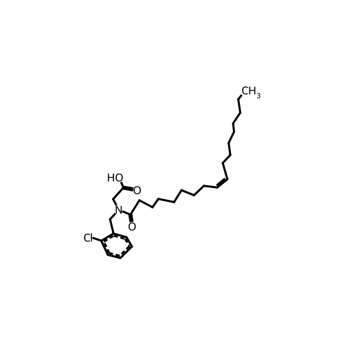 CCCCCCCC/C=C\CCCCCCCC(=O)N(CC(=O)O)Cc1ccccc1Cl